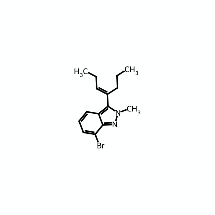 CCC=C(CCC)c1c2cccc(Br)c2nn1C